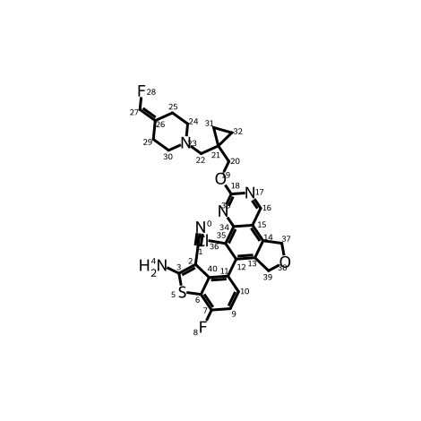 N#Cc1c(N)sc2c(F)ccc(-c3c4c(c5cnc(OCC6(CN7CCC(=CF)CC7)CC6)nc5c3Cl)COC4)c12